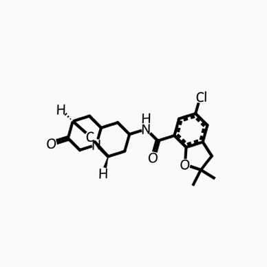 CC1(C)Cc2cc(Cl)cc(C(=O)NC3CC4C[C@H]5C[C@H](C3)N4CC5=O)c2O1